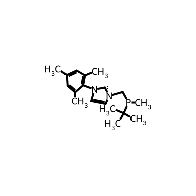 Cc1cc(C)c(N2[C]N(CP(C)C(C)(C)C)C=C2)c(C)c1